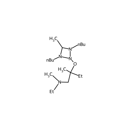 CCCCN1C(C)N(CCCC)N1OC(C)(CC)CN(C)CC